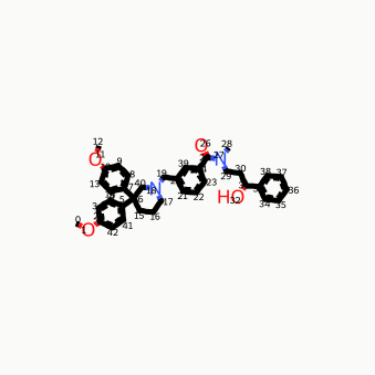 COc1ccc(C2(c3ccc(OC)cc3)CCCN(Cc3cccc(C(=O)N(C)CCC(O)c4ccccc4)c3)C2)cc1